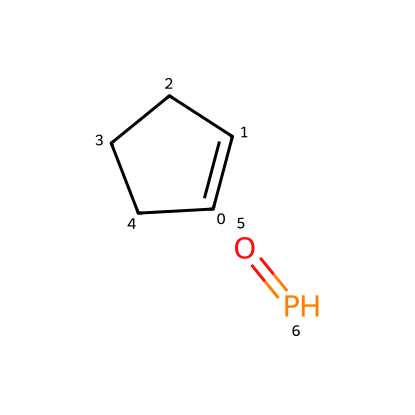 C1=CCCC1.O=P